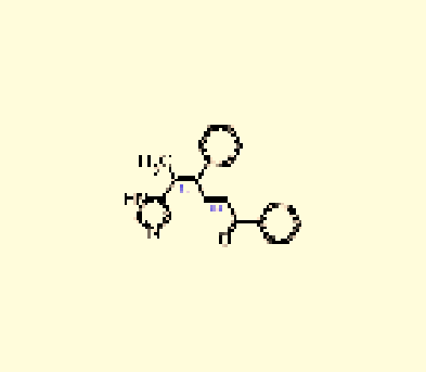 C/C(=C(/C=C/C(=O)c1ccccc1)c1ccccc1)c1cnc[nH]1